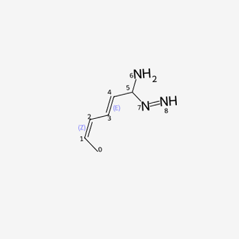 C/C=C\C=C\C(N)N=N